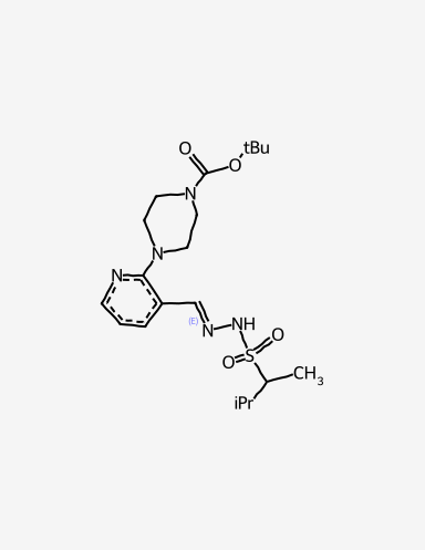 CC(C)C(C)S(=O)(=O)N/N=C/c1cccnc1N1CCN(C(=O)OC(C)(C)C)CC1